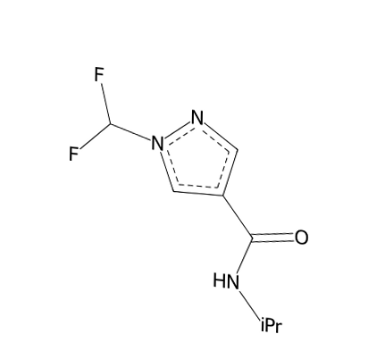 CC(C)NC(=O)c1cnn(C(F)F)c1